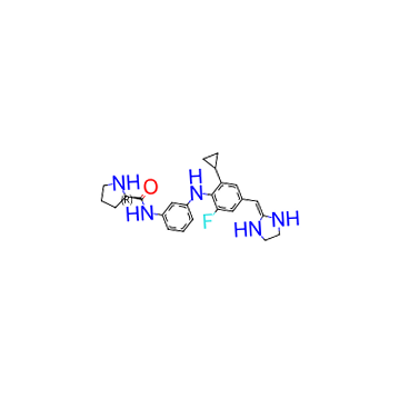 O=C(Nc1cccc(Nc2c(F)cc(C=C3NCCN3)cc2C2CC2)c1)[C@H]1CCCN1